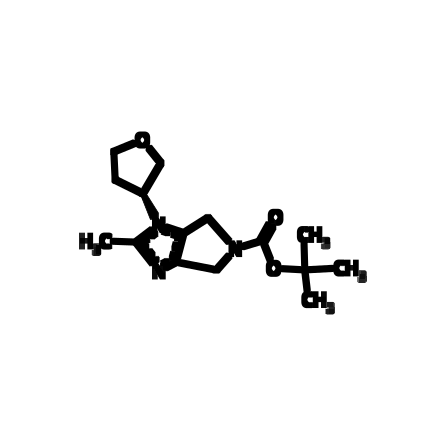 Cc1nc2c(n1[C@H]1CCOC1)CN(C(=O)OC(C)(C)C)C2